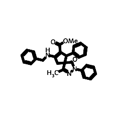 COC(=O)C1=C(NCc2ccccc2)CC2(C(=O)N(c3ccccc3)N=C2C)C1c1ccccc1